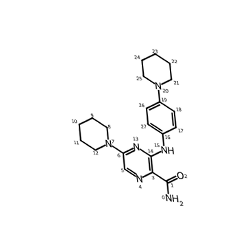 NC(=O)c1ncc(N2CCCCC2)nc1Nc1ccc(N2CCCCC2)cc1